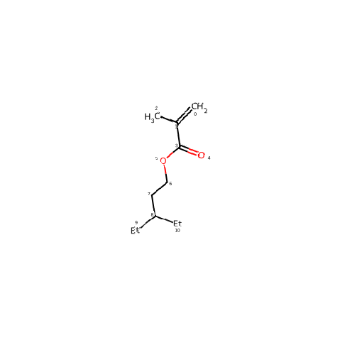 C=C(C)C(=O)OCCC(CC)CC